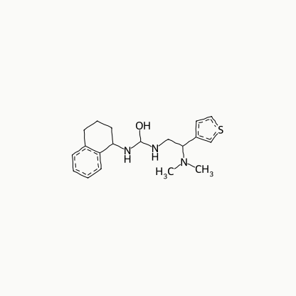 CN(C)C(CNC(O)NC1CCCc2ccccc21)c1ccsc1